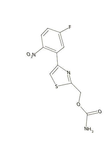 NC(=O)OCc1nc(-c2cc(F)ccc2[N+](=O)[O-])cs1